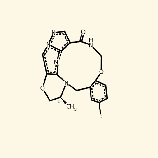 C[C@H]1COc2cn3ncc4c3nc2N1Cc1cc(F)ccc1OCNC4=O